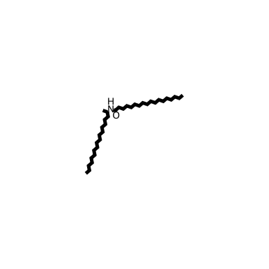 CCCCCCCCCCCCCCCCCC(=O)NC(C)CCCCCCCCCCCCCCCC